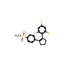 CS(=O)(=O)c1ccc(C2=C(c3c(F)cc(F)cc3F)CCC2)cc1